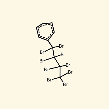 BrC(Br)(Br)C(Br)(Br)C(Br)(Br)C(Br)(Br)c1cc[c]cc1